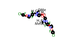 CO[C@H](C)[C@@H](C)n1c(Cc2cc(F)c(-c3cccc(OCc4ccc(Cl)cc4F)n3)cc2F)nc2ccc(C(=O)OC(=O)c3ccc4nc(Cc5cc(F)c(-c6cccc(OCc7ccc(Cl)cc7F)n6)cc5F)n([C@H](C)[C@@H](C)OC)c4c3)cc21